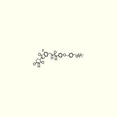 CC(C)(C)[Si](C)(C)OCc1ccc(COc2ccc(NC(=O)NCc3cc(F)c4c(c3)CN(C3CCC(=O)NC3=O)C4=O)cc2)cc1